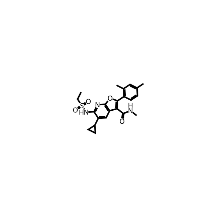 CCS(=O)(=O)Nc1nc2oc(-c3ccc(C)cc3C)c(C(=O)NC)c2cc1C1CC1